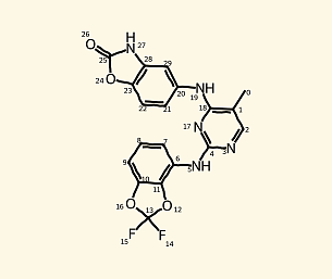 Cc1cnc(Nc2cccc3c2OC(F)(F)O3)nc1Nc1ccc2oc(=O)[nH]c2c1